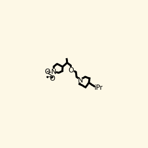 CC(C)C1CCN(CCOCC(C)C2CCN(S(C)(=O)=O)CC2)CC1